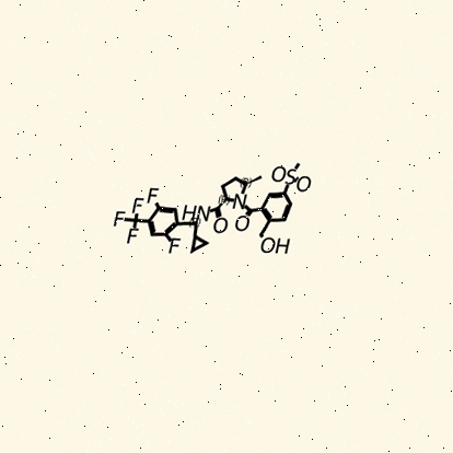 C[C@@H]1CC[C@H](C(=O)N[C@@H](c2cc(F)c(C(F)(F)F)cc2F)C2CC2)N1C(=O)c1cc(S(C)(=O)=O)ccc1CO